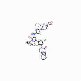 CC(=O)OCc1c(-c2cc(Nc3ccc(N4CCN(C5COC5)C[C@@H]4C)cn3)c(=O)n(C)c2)cc(F)cc1N1CCn2c(cc3c2CCCC3)C1=O